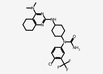 CN(C)c1nc(NC2CCC(N(C(N)=O)c3ccc(Cl)c(C(F)(F)F)c3)CC2)nc2c1CCCC2